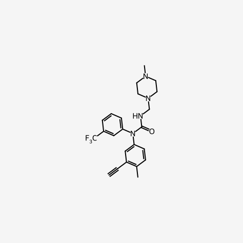 C#Cc1cc(N(C(=O)NCN2CCN(C)CC2)c2cccc(C(F)(F)F)c2)ccc1C